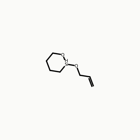 C=CCO[SiH]1CCCCO1